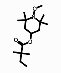 CCC(C)(C)C(=O)OC1CC(C)(C)N(OC)C(C)(C)C1